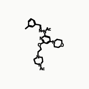 CC(=O)N1CCN(CCOc2cc(N3CCOCC3)cc(N(N=Cc3cccc(C)c3)C(C)=O)n2)CC1